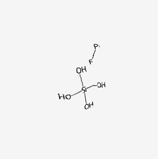 F[P].O[Si](O)(O)O